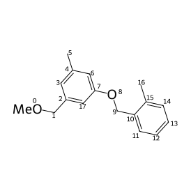 COCc1cc(C)cc(OCc2ccccc2C)c1